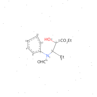 CCOC(=O)C(O)C(CC)N(C=O)c1ccccc1